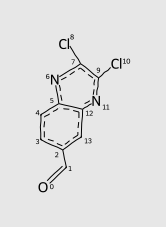 O=Cc1ccc2nc(Cl)c(Cl)nc2c1